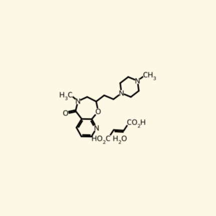 CN1CCN(CCC2CN(C)C(=O)c3cccnc3O2)CC1.O.O=C(O)C=CC(=O)O